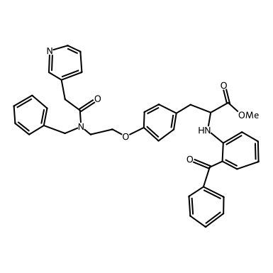 COC(=O)C(Cc1ccc(OCCN(Cc2ccccc2)C(=O)Cc2cccnc2)cc1)Nc1ccccc1C(=O)c1ccccc1